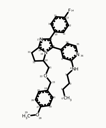 CCCCNc1cc(-c2c(-c3ccc(F)cc3)nc3n2C(COCc2ccc(OC)cc2)CC3)ccn1